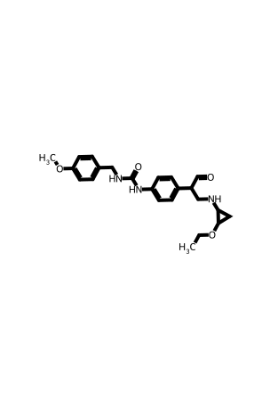 CCOC1CC1NCC(C=O)c1ccc(NC(=O)NCc2ccc(OC)cc2)cc1